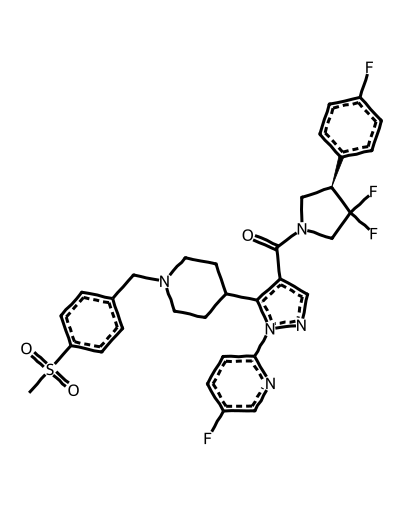 CS(=O)(=O)c1ccc(CN2CCC(c3c(C(=O)N4C[C@@H](c5ccc(F)cc5)C(F)(F)C4)cnn3-c3ccc(F)cn3)CC2)cc1